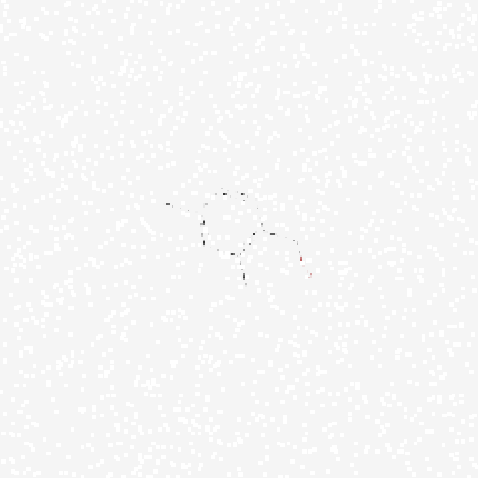 Cc1c[c]c(CBr)c(C)c1